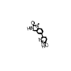 CN1C(=O)NCc2cc(C3=NNC(=O)CC3)ccc21